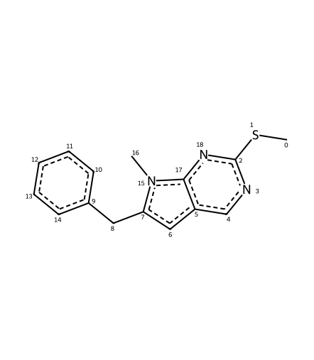 CSc1ncc2cc(Cc3ccccc3)n(C)c2n1